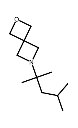 CC(C)CC(C)(C)N1CC2(COC2)C1